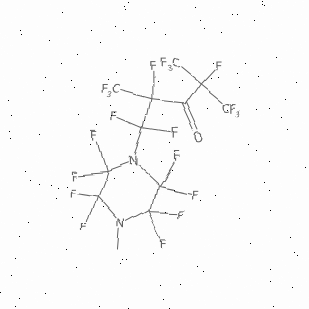 CN1C(F)(F)C(F)(F)N(C(F)(F)C(F)(C(=O)C(F)(C(F)(F)F)C(F)(F)F)C(F)(F)F)C(F)(F)C1(F)F